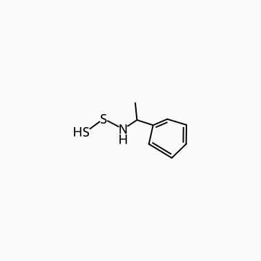 CC(NSS)c1ccccc1